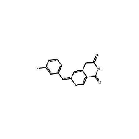 O=C1CC2=CC(=Cc3cccc(F)c3)CC=C2C(=O)N1